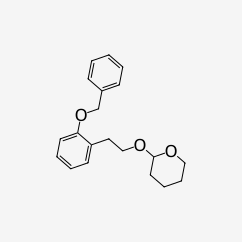 c1ccc(COc2ccccc2CCOC2CCCCO2)cc1